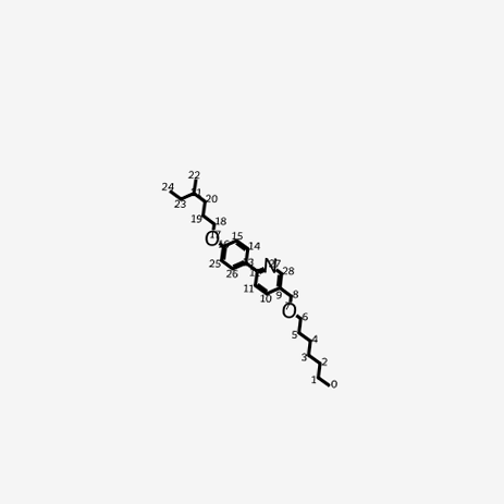 CCCCCCCOCc1ccc(-c2ccc(OCCCC(C)CC)cc2)nc1